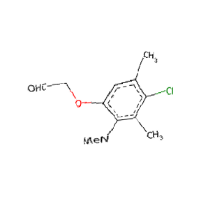 CNc1c(OCC=O)cc(C)c(Cl)c1C